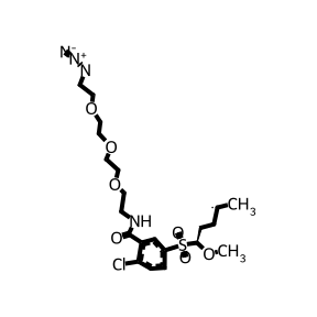 C[CH]CC[C@@H](OC)S(=O)(=O)c1ccc(Cl)c(C(=O)NCCOCCOCCOCCN=[N+]=[N-])c1